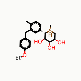 CCOc1ccc(Cc2cc([C@H]3[C@H](O)[C@H](O)[C@H](O)C[SH]3C)ccc2C)cc1